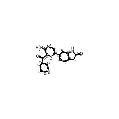 Nc1ncc(-c2ccc3c(c2)NC(=O)C3)nc1C(=O)c1cccnc1